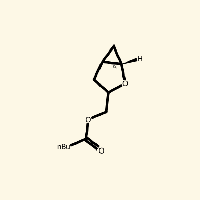 CCCCC(=O)OCC1CC2C[C@@H]2O1